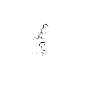 C[C@H](N)C(=O)OCC1=C(C(=O)O)N2C(=O)[C@@H](NC(=O)Cc3cccs3)[C@@H]2SC1